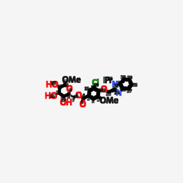 COc1cc(C(=O)OC[C@H]2O[C@H](OC)[C@H](O)[C@@H](O)[C@@H]2O)cc(Cl)c1OCc1nc2ccccc2n1C(C)C